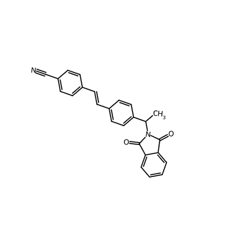 CC(c1ccc(/C=C/c2ccc(C#N)cc2)cc1)N1C(=O)c2ccccc2C1=O